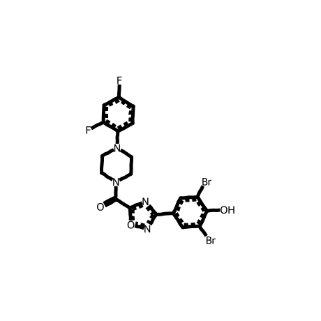 O=C(c1nc(-c2cc(Br)c(O)c(Br)c2)no1)N1CCN(c2ccc(F)cc2F)CC1